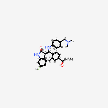 CNC(=O)c1ccc(/C(Nc2ccc(CN(C)C)cc2)=C2/C(=O)Nc3cc(F)ccc32)c(C)c1